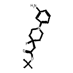 CC(C)(C)OC(=O)CC1(F)CCN(c2cccc(N)c2)CC1